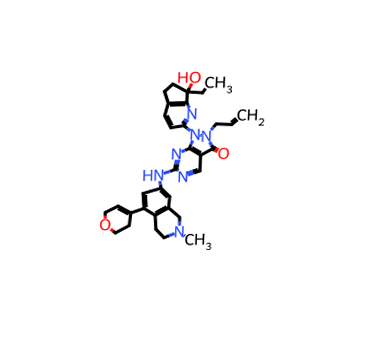 C=CCn1c(=O)c2cnc(Nc3cc4c(c(C5=CCOCC5)c3)CCN(C)C4)nc2n1-c1ccc2c(n1)C(O)(CC)CC2